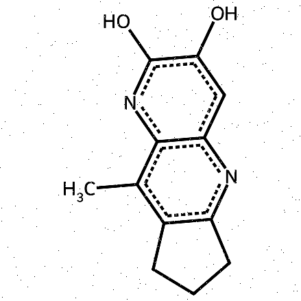 Cc1c2c(nc3cc(O)c(O)nc13)CCC2